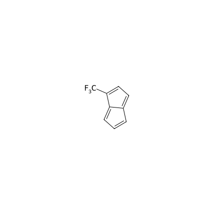 FC(F)(F)C1=CC=C2C=CC=C21